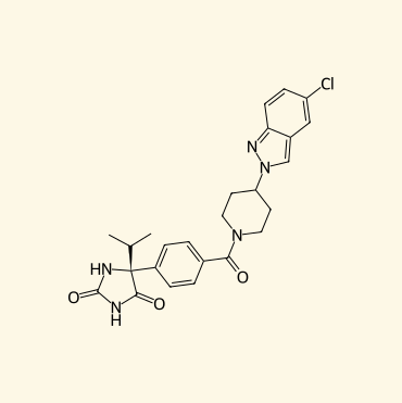 CC(C)[C@]1(c2ccc(C(=O)N3CCC(n4cc5cc(Cl)ccc5n4)CC3)cc2)NC(=O)NC1=O